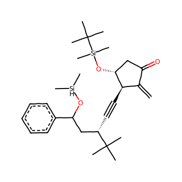 C=C1C(=O)C[C@@H](O[Si](C)(C)C(C)(C)C)[C@@H]1C#C[C@@H](CC(O[SiH](C)C)c1ccccc1)C(C)(C)C